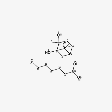 CC1(O)CCC2CC1(O)C2(C)C.OB(O)CCCCCBr